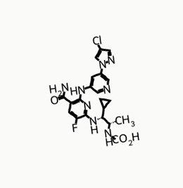 C[C@H](NC(=O)O)[C@H](Nc1nc(Nc2cncc(-n3cc(Cl)cn3)c2)c(C(N)=O)cc1F)C1CC1